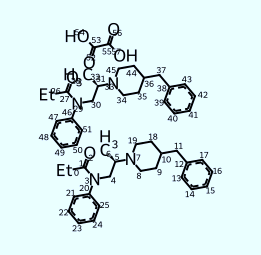 CCC(=O)N(C[C@@H](C)N1CCC(Cc2ccccc2)CC1)c1ccccc1.CCC(=O)N(C[C@@H](C)N1CCC(Cc2ccccc2)CC1)c1ccccc1.O=C(O)C(=O)O